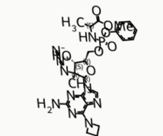 COC(=O)[C@H](C)NP(=O)(OC[C@H]1O[C@@H](n2cnc3c(N4CCC4)nc(N)nc32)[C@](C)(N=[N+]=[N-])[C@@H]1O)Oc1ccccc1